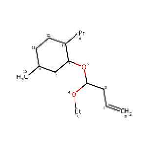 C=CCC(OCC)OC1CC(C)CCC1C(C)C